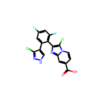 O=C(O)c1ccn2c(Cl)c(-c3c(F)cc(F)cc3-c3c[nH]nc3Cl)nc2c1